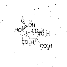 O=C(O)CC(CC(C(=O)O)C(=O)O)(C(=O)O)P(=O)(O)O